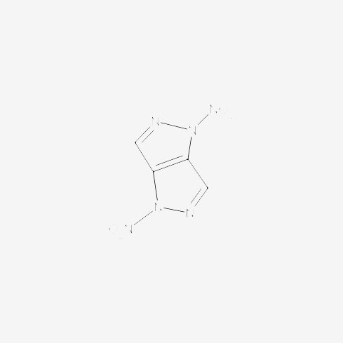 O=[N+]([O-])n1ncc2c1cnn2[N+](=O)[O-]